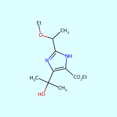 CCOC(=O)c1[nH]c(C(C)OCC)nc1C(C)(C)O